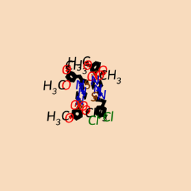 COc1cc(Cc2csc(N3CCN(S(=O)(=O)c4cc(OC)ccc4OC)CC3)n2)cc(OC)c1.COc1ccc(OC)c(S(=O)(=O)N2CCN(c3nc(Cc4ccc(Cl)c(Cl)c4)cs3)CC2)c1